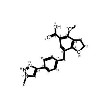 COc1c(C(=O)O)cc(Cc2ccc(-c3cn(C)nn3)cc2)c2c1CCO2